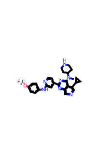 CN(c1nc(-c2ccnc(Nc3ccc(OC(F)(F)F)cc3)c2)nc2cncc(C3CC3)c12)C1CCNCC1